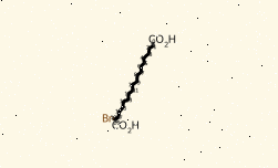 O=C(O)CCCCCCCCCCCCCCCCCC(Br)C(=O)O